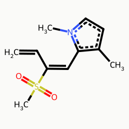 C=C/C(=C\c1c(C)ccn1C)S(C)(=O)=O